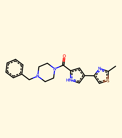 Cc1nc(-c2c[nH]c(C(=O)N3CCN(Cc4ccccc4)CC3)c2)cs1